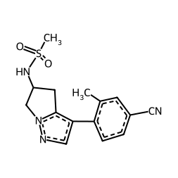 Cc1cc(C#N)ccc1-c1cnn2c1CC(NS(C)(=O)=O)C2